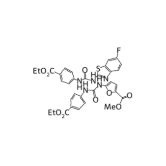 CCOC(=O)c1ccc(NC(=O)Nc2ccc(C(=O)OC)o2)cc1.CCOC(=O)c1ccc(NC(=O)Nc2nc3ccc(F)cc3s2)cc1